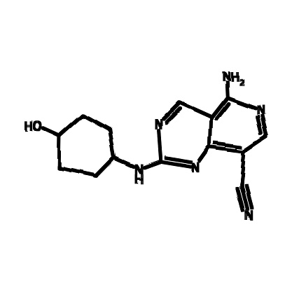 N#Cc1cnc(N)c2cnc(NC3CCC(O)CC3)nc12